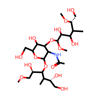 COC[C@@H](O)C(OC1OC(CO)C(O)C(OC(OC)C(O)C(O)C(C)[C@@H](CO)OC)C1NC(C)=O)C(C)[C@H](O)CO